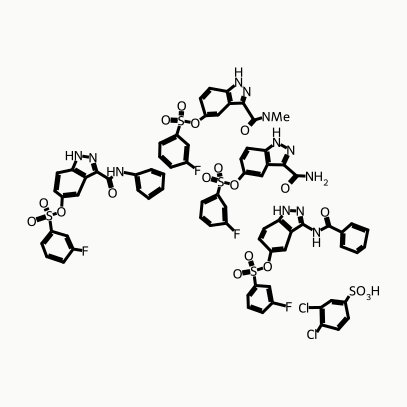 CNC(=O)c1n[nH]c2ccc(OS(=O)(=O)c3cccc(F)c3)cc12.NC(=O)c1n[nH]c2ccc(OS(=O)(=O)c3cccc(F)c3)cc12.O=C(Nc1ccccc1)c1n[nH]c2ccc(OS(=O)(=O)c3cccc(F)c3)cc12.O=C(Nc1n[nH]c2ccc(OS(=O)(=O)c3cccc(F)c3)cc12)c1ccccc1.O=S(=O)(O)c1ccc(Cl)c(Cl)c1